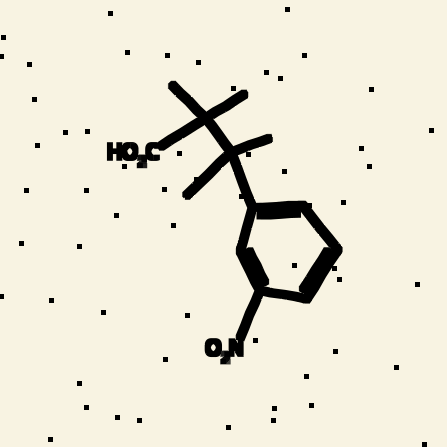 CC(C)(C(=O)O)C(C)(C)c1cccc([N+](=O)[O-])c1